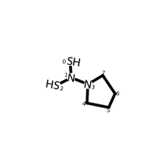 SN(S)N1CCCC1